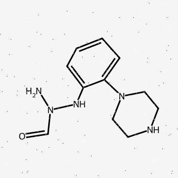 NN(C=O)Nc1ccccc1N1CCNCC1